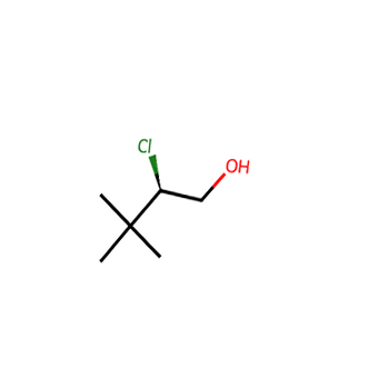 CC(C)(C)[C@@H](Cl)CO